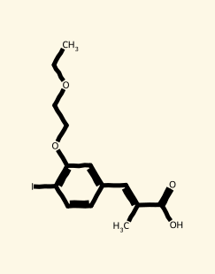 CCOCCOc1cc(/C=C(\C)C(=O)O)ccc1I